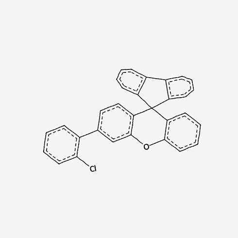 Clc1ccccc1-c1ccc2c(c1)Oc1ccccc1C21c2ccccc2-c2ccccc21